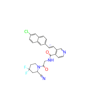 N#CC1CC(F)(F)CCN1C(=O)CNC(=O)c1ccncc1/C=C/c1ccc2cc(Cl)ccc2c1